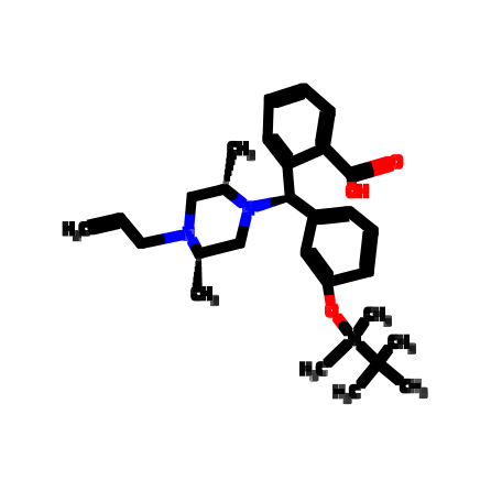 C=CCN1C[C@H](C)N([C@H](c2cccc(O[Si](C)(C)C(C)(C)C)c2)c2ccccc2C(=O)O)C[C@@H]1C